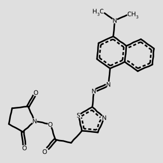 CN(C)c1ccc(N=Nc2ncc(CC(=O)ON3C(=O)CCC3=O)s2)c2ccccc12